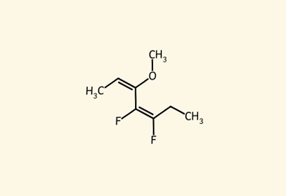 C/C=C(OC)\C(F)=C(\F)CC